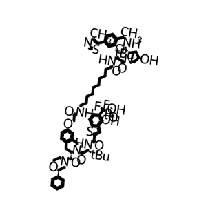 Cc1ncsc1-c1ccc([C@H](C)NC(=O)[C@@H]2C[C@@H](O)CN2C(=O)[C@@H](NC(=O)CCCCCCCCCNC(=O)COc2ccc3c(c2)CN(C(=O)[C@@H](NC(=O)c2cc4cc(C(F)(F)P(=O)(O)O)ccc4s2)C(C)(C)C)[C@H](C(=O)N2CCO[C@H](c4ccccc4)C2)C3)C(C)(C)C)cc1